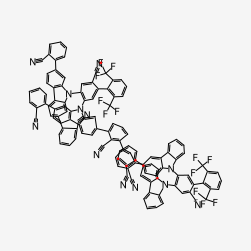 N#Cc1ccccc1-c1ccc2c(c1)c1ccccc1n2-c1cc(C#N)c(-c2c(C(F)(F)F)cccc2C(F)(F)F)cc1-n1c2ccccc2c2cc(-c3cc(-c4cccc(-c5ccc6c7ccc(-c8ccccc8C#N)cc7n(-c7cc(-c8c(C(F)(F)F)cccc8C(F)(F)F)c(C#N)cc7-n7c8cc(-c9ccccc9C#N)ccc8c8ccc(-c9ccccc9C#N)cc87)c6c5)c4C#N)ccc3C#N)ccc21